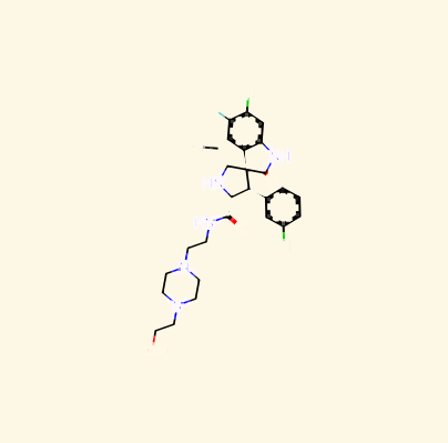 CC(C)(C)C[C@H]1N[C@@H](C(=O)NCCN2CCN(CCO)CC2)[C@H](c2cccc(Cl)c2)[C@@]12C(=O)Nc1cc(Cl)c(F)cc12